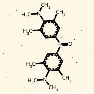 Cc1cc([P](=O)c2cc(C)c(N(C)C)c(C)c2)cc(C)c1N(C)C